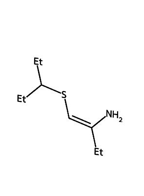 CC/C(N)=C/SC(CC)CC